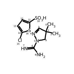 CC1(C)C=NN(C(=N)N)C1.O=S(=O)(O)c1ccc(Cl)s1